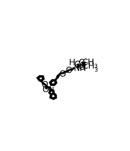 CC(C)(C)OC(=O)NCCOCCOCC#Cc1ccc([C@@H](C(=O)OCc2ccccc2)N2Cc3ccccc3C2)cc1